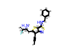 CC#Cc1c(C[C@@H](N)[C@H](C)F)sc2c(NCc3ccccc3)snc12